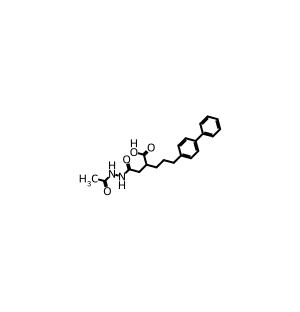 CC(=O)NNC(=O)CC(CCCc1ccc(-c2ccccc2)cc1)C(=O)O